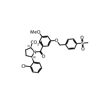 COc1cc(OCc2ccc(S(C)(=O)=O)cc2)cc(C(=O)N2[C@@H](c3ccccc3Cl)CC[C@H]2C(=O)O)c1